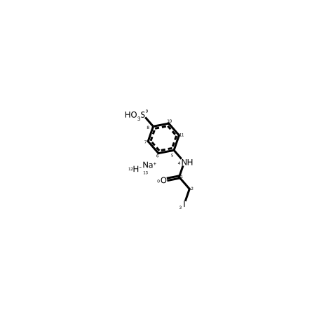 O=C(CI)Nc1ccc(S(=O)(=O)O)cc1.[H-].[Na+]